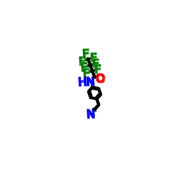 N#CCc1ccc(NC(=O)C(F)(F)C(F)(F)C(F)(F)F)cc1